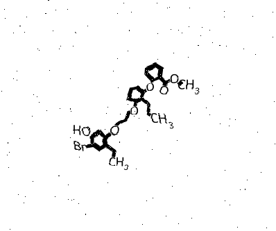 CCCc1c(OCCCOc2cc(O)c(Br)cc2CC)cccc1Oc1ccccc1C(=O)OC